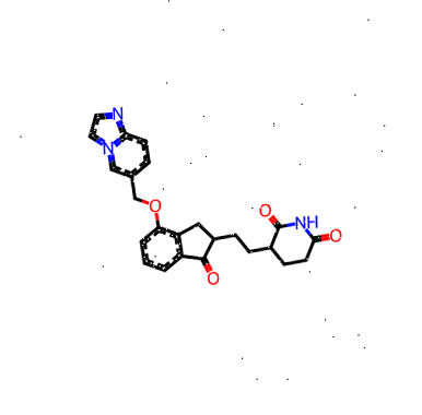 O=C1CCC(CCC2Cc3c(OCc4ccc5nccn5c4)cccc3C2=O)C(=O)N1